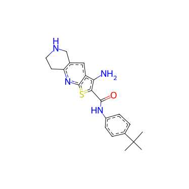 CC(C)(C)c1ccc(NC(=O)c2sc3nc4c(cc3c2N)CNCC4)cc1